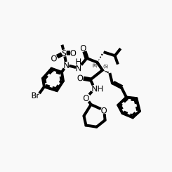 CC(C)C[C@@H](C(=O)NN(c1ccc(Br)cc1)S(C)(=O)=O)[C@H](CC=Cc1ccccc1)C(=O)NOC1CCCCO1